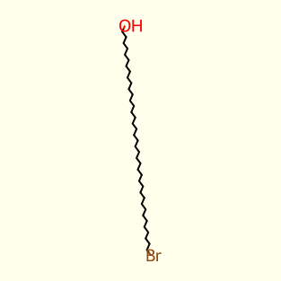 OCCCCCCCCCCCCCCCCCCCCCCCCCCCCCCCCCCCCCCCBr